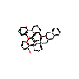 c1ccc(-c2ccccc2-c2c(-c3ccccc3)cccc2-c2ccccc2N(c2ccc(-c3ccc4ccccc4c3)cc2)c2cccc3oc4ccccc4c23)cc1